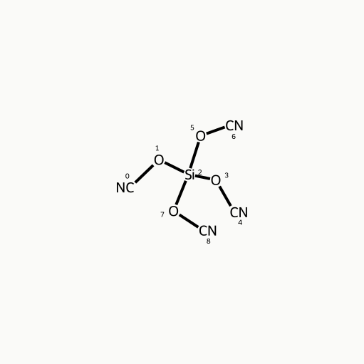 N#CO[Si](OC#N)(OC#N)OC#N